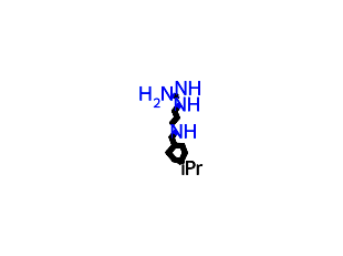 CC(C)C1CCC(CNCCCNC(=N)N)CC1